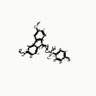 COc1ccc2c(c1)-c1cc(OC)ccc1C2=NOS(=O)(=O)c1ccc(C)cc1